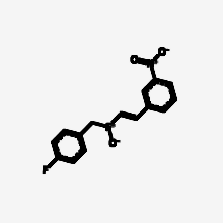 O=[N+]([O-])c1cccc(C=C[S+]([O-])Cc2ccc(F)cc2)c1